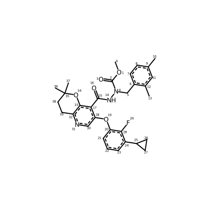 COC(=O)N(Cc1ccc(C)cc1C)NC(=O)c1c(Oc2cccc(C3CC3)c2F)cnc2c1OC(C)(C)CC2